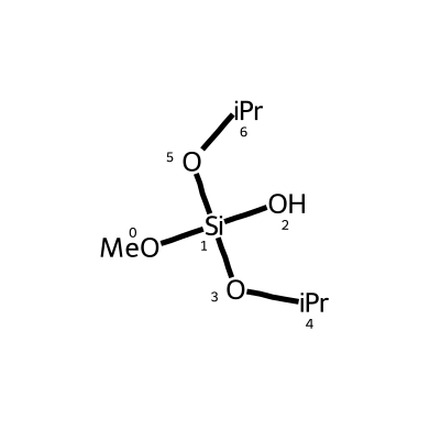 CO[Si](O)(OC(C)C)OC(C)C